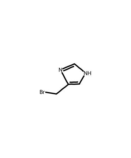 BrCc1c[nH]cn1